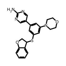 Nc1ncc(-c2cc(SC3COc4ccccc43)cc(N3CCOCC3)c2)cn1